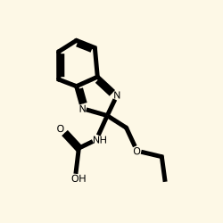 CCOCC1(NC(=O)O)N=c2ccccc2=N1